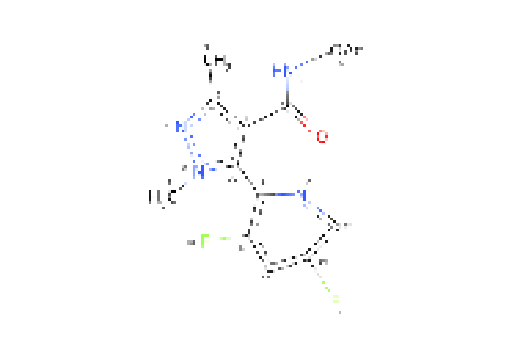 CC(=O)ONC(=O)c1c(C)nn(C)c1-c1ncc(F)cc1F